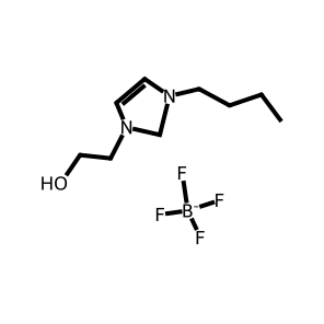 CCCCN1C=CN(CCO)C1.F[B-](F)(F)F